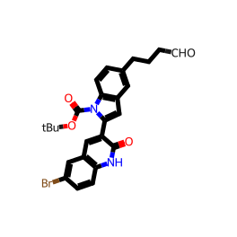 CC(C)(C)OC(=O)n1c(-c2cc3cc(Br)ccc3[nH]c2=O)cc2cc(CCCC=O)ccc21